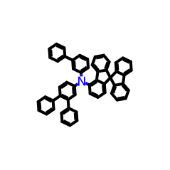 c1ccc(-c2cccc(N(c3ccc(-c4ccccc4)c(-c4ccccc4)c3)c3cccc4c3-c3ccccc3C43c4ccccc4-c4ccccc43)c2)cc1